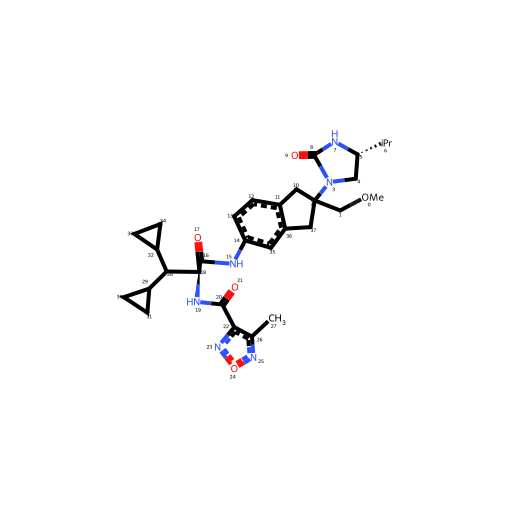 COCC1(N2C[C@@H](C(C)C)NC2=O)Cc2ccc(NC(=O)[C@@H](NC(=O)c3nonc3C)C(C3CC3)C3CC3)cc2C1